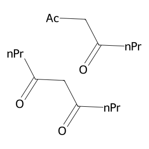 CCCC(=O)CC(=O)CCC.CCCC(=O)CC(C)=O